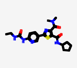 CCNC(=O)Nc1ccc(-c2nc(C(=O)N(C)C)c(C(=O)NC3CCCC3)s2)cn1